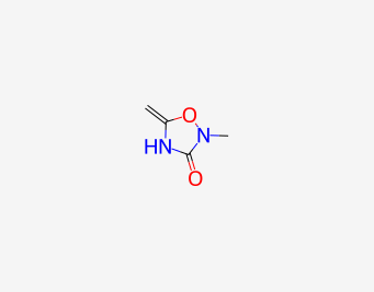 C=C1NC(=O)N(C)O1